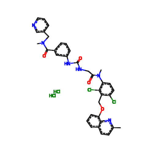 Cc1ccc2cccc(OCc3c(Cl)ccc(N(C)C(=O)CNC(=O)Nc4cccc(C(=O)N(C)Cc5cccnc5)c4)c3Cl)c2n1.Cl.Cl